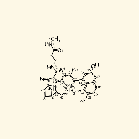 CNC(=O)CCNc1nc2c(F)c(-c3cc(O)cc4ccc(F)c(C)c34)nc3c2c(c1C#N)N1CC2CC(N2)C1CO3